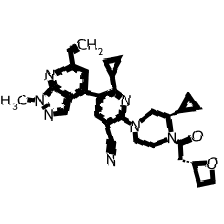 C=Cc1cc(-c2cc(C#N)c(N3CCN(C(=O)C[C@H]4CCO4)[C@H](C4CC4)C3)nc2C2CC2)c2cnn(C)c2n1